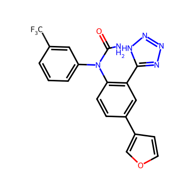 NC(=O)N(c1cccc(C(F)(F)F)c1)c1ccc(-c2ccoc2)cc1-c1nnn[nH]1